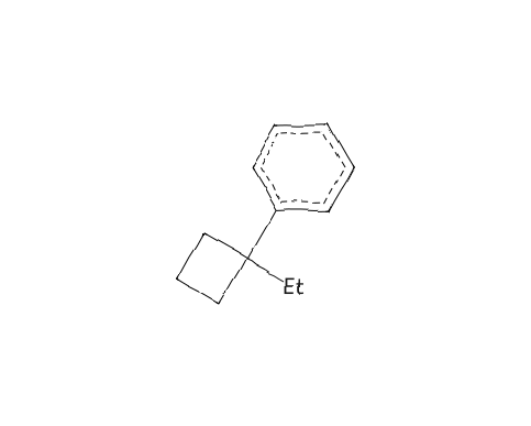 [CH2]CC1(c2ccccc2)CCC1